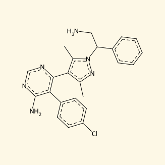 Cc1nn(C(CN)c2ccccc2)c(C)c1-c1ncnc(N)c1-c1ccc(Cl)cc1